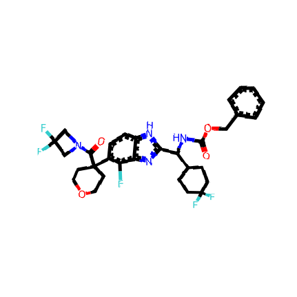 O=C(NC(c1nc2c(F)c(C3(C(=O)N4CC(F)(F)C4)CCOCC3)ccc2[nH]1)C1CCC(F)(F)CC1)OCc1ccccc1